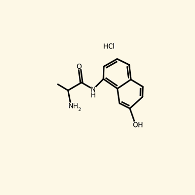 CC(N)C(=O)Nc1cccc2ccc(O)cc12.Cl